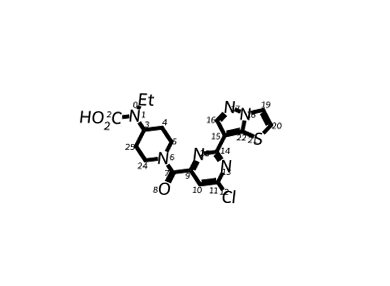 CCN(C(=O)O)C1CCN(C(=O)c2cc(Cl)nc(-c3cnn4ccsc34)n2)CC1